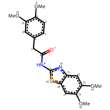 COc1ccc(CC(=O)Nc2nc3cc(OC)c(OC)cc3s2)cc1OC